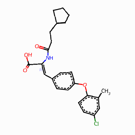 Cc1cc(Cl)ccc1Oc1ccc(/C=C(\NC(=O)CCC2CCCC2)C(=O)O)cc1